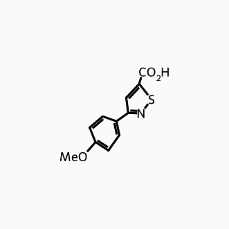 COc1ccc(-c2cc(C(=O)O)sn2)cc1